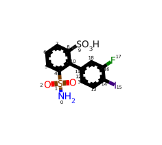 NS(=O)(=O)c1cccc(S(=O)(=O)O)c1-c1ccc(I)c(F)c1